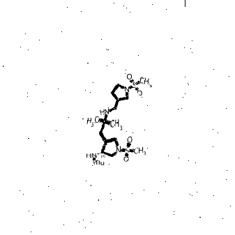 CC(C)(C)N[C@H]1CN(S(C)(=O)=O)CC1CC(C)(C)NCC1CCN(S(C)(=O)=O)C1